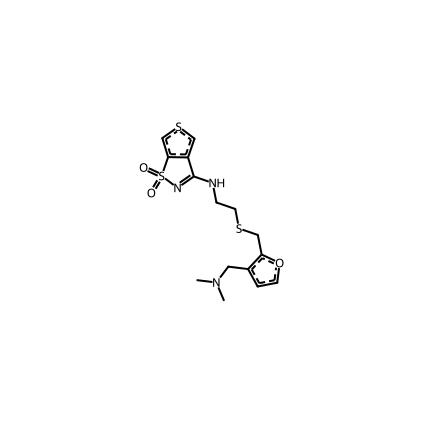 CN(C)Cc1ccoc1CSCCNC1=NS(=O)(=O)c2cscc21